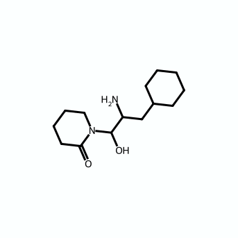 NC(CC1CCCCC1)C(O)N1CCCCC1=O